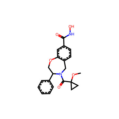 COC1(C(=O)N2Cc3ccc(C(=O)NO)cc3OCC2c2ccccc2)CC1